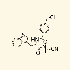 N#CCNC(=O)C(Cc1csc2ccccc12)NC(=O)c1ccc(CCl)cc1